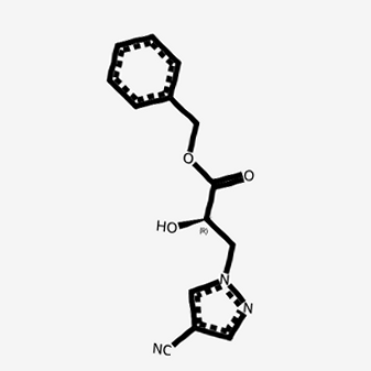 N#Cc1cnn(C[C@@H](O)C(=O)OCc2ccccc2)c1